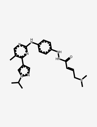 Cc1cnc(Nc2ccc(NNC(=O)/C=C/CN(C)C)cc2)nc1-c1cnn(C(C)C)c1